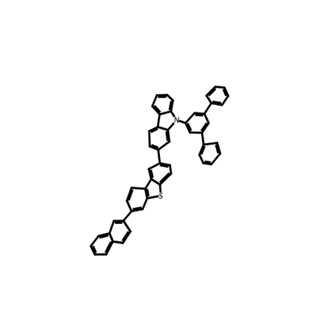 c1ccc(-c2cc(-c3ccccc3)cc(-n3c4ccccc4c4ccc(-c5ccc6sc7cc(-c8ccc9ccccc9c8)ccc7c6c5)cc43)c2)cc1